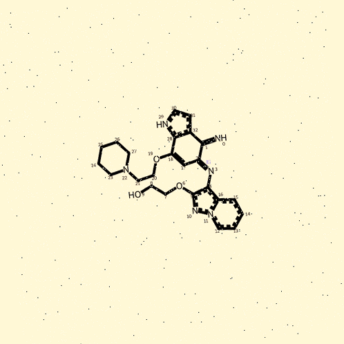 N=C1/C(=N/c2c(OCCO)nn3ccccc23)C=C(OCCN2CCCCC2)c2[nH]ccc21